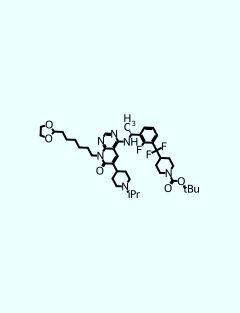 CC(C)N1CCC(c2cc3c(N[C@H](C)c4cccc(C(F)(F)C5CCN(C(=O)OC(C)(C)C)CC5)c4F)ncnc3n(CCCCCCC3OCCO3)c2=O)CC1